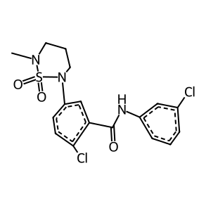 CN1CCCN(c2ccc(Cl)c(C(=O)Nc3cccc(Cl)c3)c2)S1(=O)=O